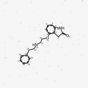 O=C1Cc2c(cccc2OCCNCCc2ccccc2)N1